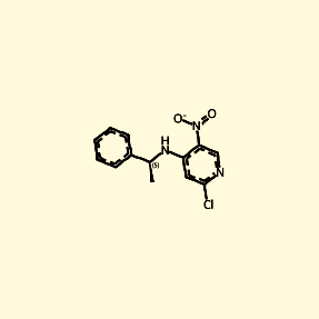 C[C@H](Nc1cc(Cl)ncc1[N+](=O)[O-])c1ccccc1